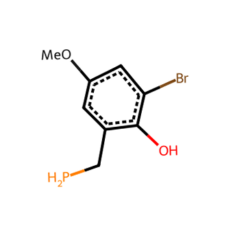 COc1cc(Br)c(O)c(CP)c1